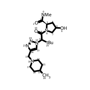 CNC(=O)[C@H]1CC(O)CN1C(=O)C(n1cc(CN2CCC(C)CC2)nn1)C(C)(C)C